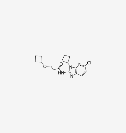 O=C(CCOC1CCC1)Nc1nc2ccc(Cl)nc2n1C1CCC1